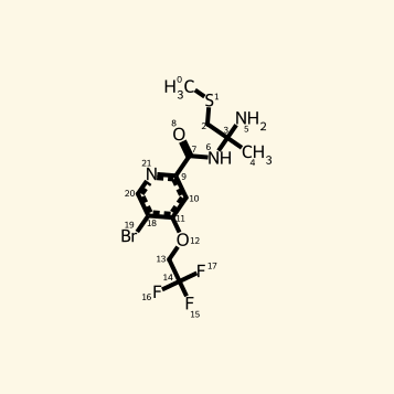 CSCC(C)(N)NC(=O)c1cc(OCC(F)(F)F)c(Br)cn1